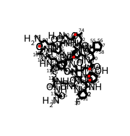 CCCCC(C(=O)N(C)C(CCCC)C(=O)NC)N(C)C(=O)C(Cc1c(-c2ccc(F)cc2)[nH]c2ccccc12)NC(=O)C(CO)NC(=O)C(Cc1c[nH]c2ccccc12)NC(=O)C1C[C@@H](O)CN1C(=O)C(CC(C)C)NC(=O)C(CN)NC(=O)C1CCCN1C(=O)C(CC(N)=O)NC(=O)C(C)N(C)C(=O)C(Cc1ccc(O)cc1)NC(=O)CSCC(NCCNC(=N)N)C(=O)NCC(N)=O